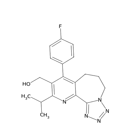 CC(C)c1nc2c(c(-c3ccc(F)cc3)c1CO)CCCn1nnnc1-2